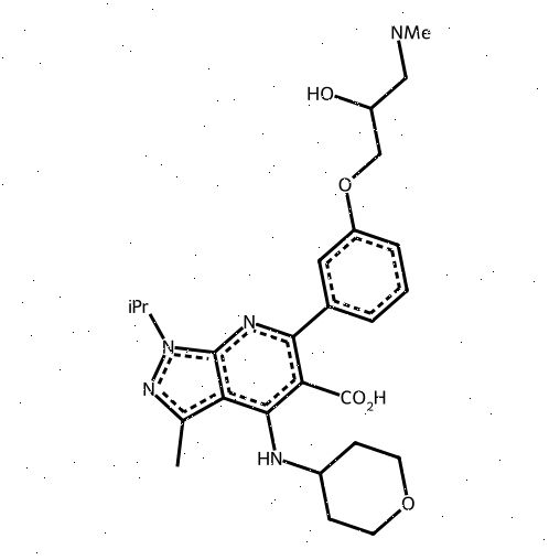 CNCC(O)COc1cccc(-c2nc3c(c(C)nn3C(C)C)c(NC3CCOCC3)c2C(=O)O)c1